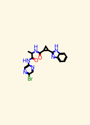 CC(NC(=O)C1CC1c1nc2ccccc2[nH]1)C(=O)Nc1cnc(Br)cn1